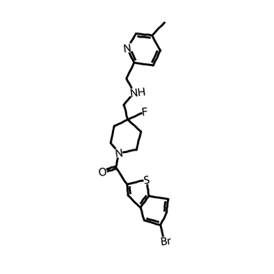 Cc1ccc(CNCC2(F)CCN(C(=O)c3cc4cc(Br)ccc4s3)CC2)nc1